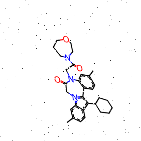 Cc1ccc2c(c1)N(CC(=O)N1CCCOCC1)C(=O)Cn1c-2c(C2CCCCC2)c2ccc(C)cc21